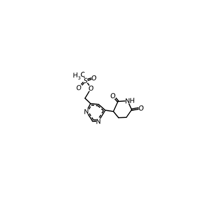 CS(=O)(=O)OCc1cc(C2CCC(=O)NC2=O)ncn1